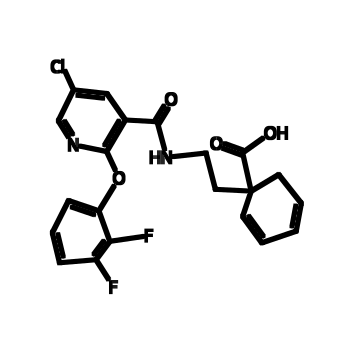 O=C(NCCC1(C(=O)O)C=CC=CC1)c1cc(Cl)cnc1Oc1cccc(F)c1F